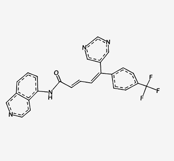 O=C(C=CC=C(c1ccc(C(F)(F)F)cc1)c1cncnc1)Nc1cccc2cnccc12